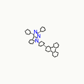 c1ccc(-c2nc(-c3ccccc3)c3c4ccccc4n(-c4ccc(-c5ccc6c7ccccc7c7ccccc7c6c5)cc4)c3n2)cc1